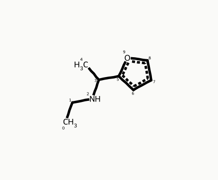 CCNC(C)c1ccco1